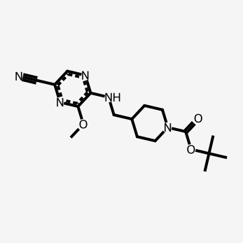 COc1nc(C#N)cnc1NCC1CCN(C(=O)OC(C)(C)C)CC1